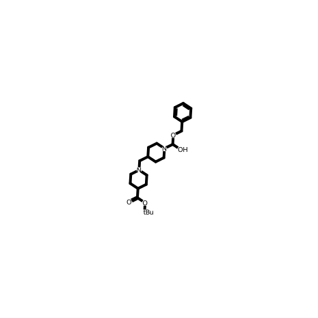 CC(C)(C)OC(=O)C1CCN(CC2CCN(C(O)OCc3ccccc3)CC2)CC1